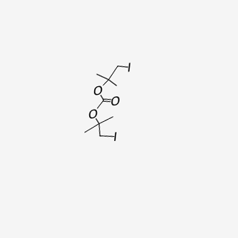 CC(C)(CI)OC(=O)OC(C)(C)CI